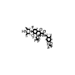 COc1c(N2CC(C)NC(C)C2)c(F)cc2c(=O)c(C(=O)NCc3ccc(OC(F)(F)F)cc3C)cn(CC(F)(F)F)c12